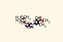 COC(=O)c1c(C)cc(N2CCC3(CCN(C(=O)OC(C)(C)C)C3)C2)nc1C